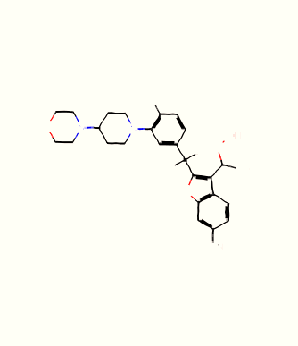 CCc1ccc(C(C)(C)c2oc3cc(C#N)ccc3c2C(OO)C(C)(C)C)cc1N1CCC(N2CCOCC2)CC1